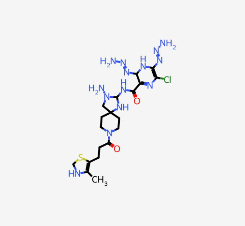 CC1=C(CCC(=O)N2CCC3(CC2)CN(N)C(NC(=O)C2=NC(Cl)=C(N=NN)NC2N=NN)N3)SCN1